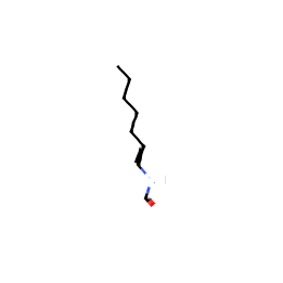 CCCCCC=CN[C]=O